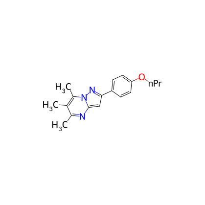 CCCOc1ccc(-c2cc3nc(C)c(C)c(C)n3n2)cc1